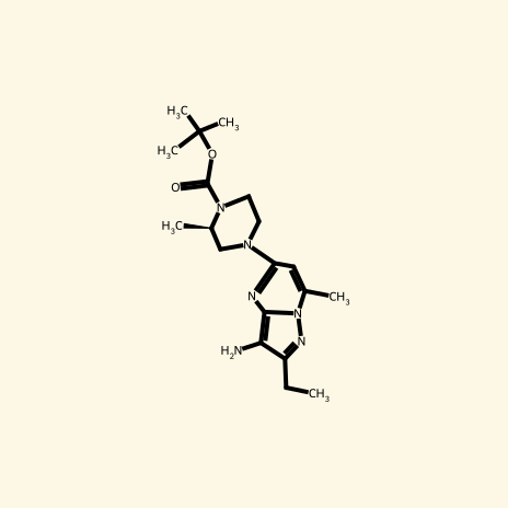 CCc1nn2c(C)cc(N3CCN(C(=O)OC(C)(C)C)[C@H](C)C3)nc2c1N